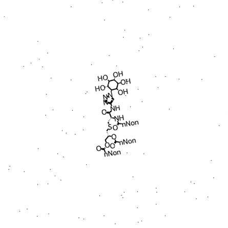 CCCCCCCCCC(=O)N[C@H](CSC[C@@H](COC(=O)CCCCCCCCC)OC(=O)CCCCCCCCC)C(=O)Nc1cn([C@@H]2[C@H](O)[C@H](O)[C@@H](O)[C@H](O)[C@H]2O)nn1